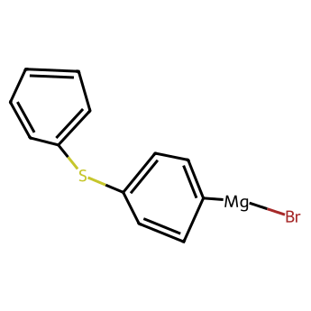 [Br][Mg][c]1ccc(Sc2ccccc2)cc1